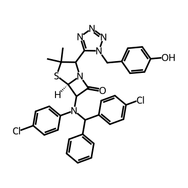 CC1(C)S[C@@H]2C(N(c3ccc(Cl)cc3)C(c3ccccc3)c3ccc(Cl)cc3)C(=O)N2C1c1nnnn1Cc1ccc(O)cc1